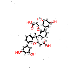 CC(C)(c1cccc(-c2cc(O)cc(O)c2)c1OCCC(=O)O)c1cccc(-c2cc(O)cc(O)c2)c1OCCC(=O)O